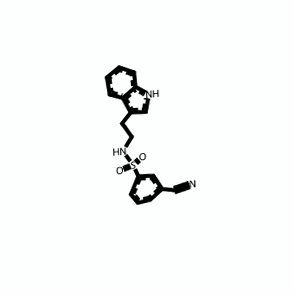 N#Cc1cccc(S(=O)(=O)NCCc2c[nH]c3ccccc23)c1